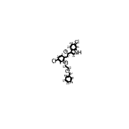 O=C(Cc1ccc(Cl)cc1OCCOCc1ccccc1)c1c[nH]c2cc(Cl)ccc12